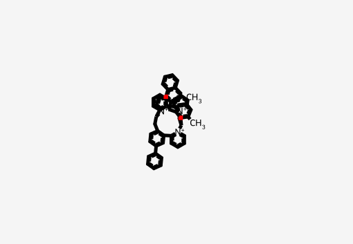 Cc1cc(C)c2c(c1)-c1c3ccc4ccccc4c3cc[n+]1C1Cc3ccc(-c4ccccc4)cc3-c3cccc[n+]3C2C[n+]2ccccc2-c2ccccc21